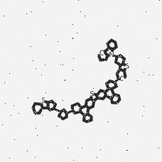 c1cc(-c2ccc3sc4ccccc4c3c2)cc(-c2ccc3c(c2)c2ccccc2c2cc4c(cc32)sc2cc3c5ccc(-c6ccc7sc8ccc(-n9c%10ccccc%10c%10ccccc%109)cc8c7c6)cc5c5ccccc5c3cc24)c1